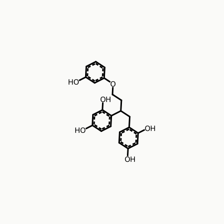 Oc1cccc(OCCC(Cc2ccc(O)cc2O)c2ccc(O)cc2O)c1